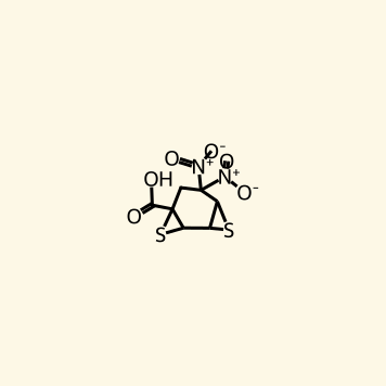 O=C(O)C12CC([N+](=O)[O-])([N+](=O)[O-])C3SC3C1S2